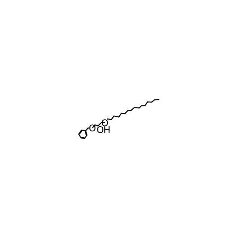 CCCCCCCCCCCCCCCCOC[C@@H](O)COCc1ccccc1